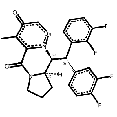 Cc1c2n(ncc1=O)[C@@H]([C@@H](c1ccc(F)c(F)c1)c1cccc(F)c1F)[C@H]1CCCN1C2=O